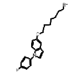 Fc1ccc(-n2ccc3cc(OCCCCCCCBr)ccc32)cc1